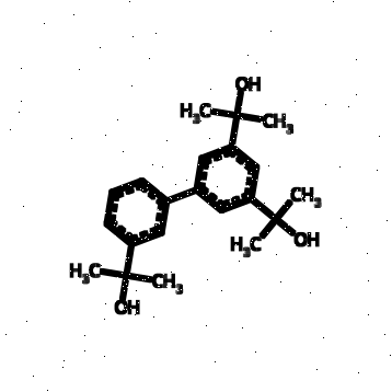 CC(C)(O)c1cccc(-c2cc(C(C)(C)O)cc(C(C)(C)O)c2)c1